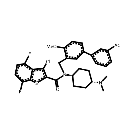 COc1ccc(-c2cccc(C(C)=O)c2)cc1CN(C(=O)c1sc2c(F)ccc(F)c2c1Cl)[C@H]1CC[C@H](N(C)C)CC1